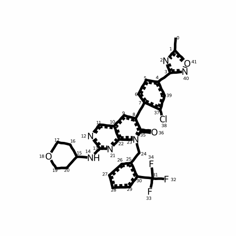 Cc1nc(-c2ccc(-c3cc4cnc(NC5CCOCC5)nc4n(Cc4ccccc4C(F)(F)F)c3=O)c(Cl)c2)no1